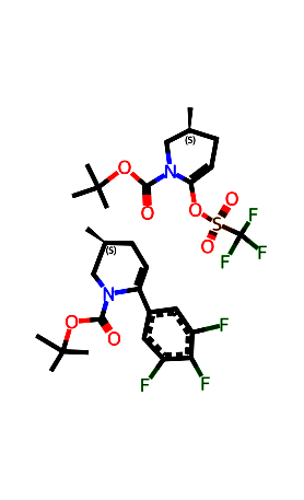 C[C@H]1CC=C(OS(=O)(=O)C(F)(F)F)N(C(=O)OC(C)(C)C)C1.C[C@H]1CC=C(c2cc(F)c(F)c(F)c2)N(C(=O)OC(C)(C)C)C1